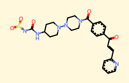 O=C(N=S(=O)=O)NC1CCN(N2CCN(C(=O)c3ccc(C(=O)C=Cc4ccccn4)cc3)CC2)CC1